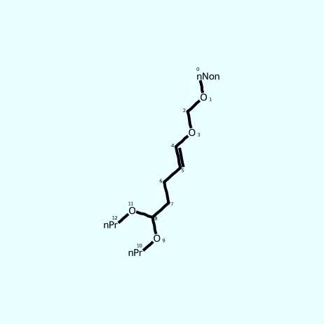 CCCCCCCCCOCOC=CCCC(OCCC)OCCC